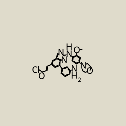 COc1cc(N2CCOCC2)ccc1Nc1ncc2cc(/C=C/C(=O)Cl)cc(-c3cccc(N)c3)c2n1